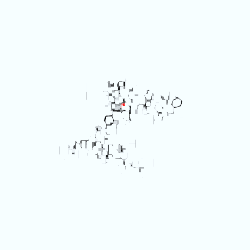 CC[C@H](C)[C@@H](CCC(=O)N1CCC[C@H]1[C@H](OC)[C@@H](C)C(=O)N[C@H](C)[C@@H](O)c1ccccc1)N(C)C(=O)[C@@H](NC(=O)[C@H](C(C)C)N(C)C(=O)OC(C(=O)O)c1ccc(NC(=O)[C@H](CCCNC(N)=O)NC(=O)[C@@H](NC(=O)[C@H](CCC(=O)OCC(C)C)NC(C)=O)C(C)C)cc1)C(C)C